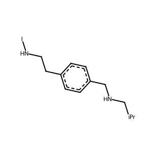 CC(C)CNCc1ccc(CCNI)cc1